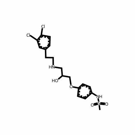 CS(=O)(=O)Nc1ccc(OCC(O)CNCCc2ccc(Cl)c(Cl)c2)cc1